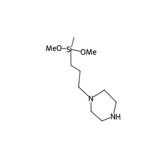 CO[Si](C)(CCCN1CCNCC1)OC